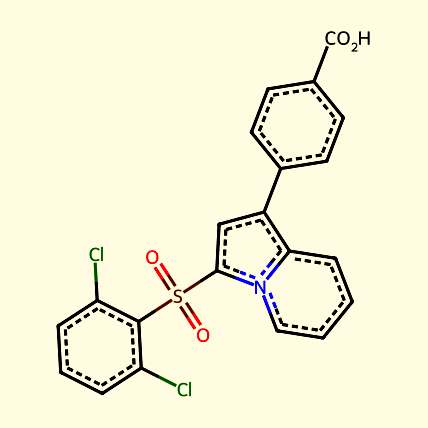 O=C(O)c1ccc(-c2cc(S(=O)(=O)c3c(Cl)cccc3Cl)n3ccccc23)cc1